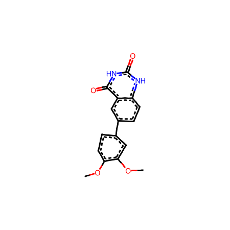 COc1ccc(-c2ccc3[nH]c(=O)[nH]c(=O)c3c2)cc1OC